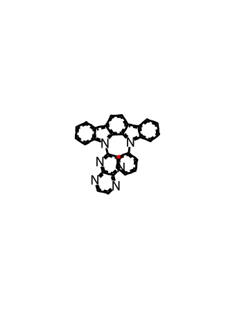 c1ccc(-n2c3ccccc3c3ccc4c5ccccc5n(-c5cnc6nccnc6n5)c4c32)cc1